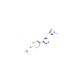 CC1C=C(c2ccnc(Nc3cnn(C)c3)n2)CCN1C(=O)OC(C)(C)C